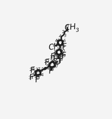 CCCCCc1cc(F)c(-c2cc(F)c(C(F)(F)Oc3cc(F)c(C#Cc4cc(F)c(F)c(F)c4)c(F)c3)c(F)c2)c(Cl)c1